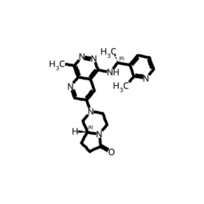 Cc1ncccc1[C@@H](C)Nc1nnc(C)c2ncc(N3CCN4C(=O)CC[C@@H]4C3)cc12